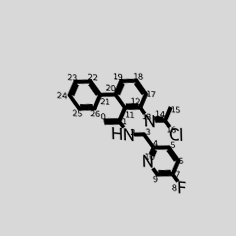 C=C(NCc1ccc(F)cn1)c1c(/N=C(\C)Cl)cccc1-c1ccccc1